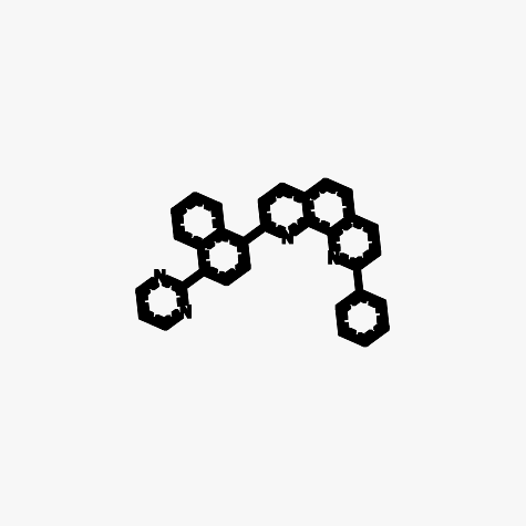 c1ccc(-c2ccc3ccc4ccc(-c5ccc(-c6ncccn6)c6ccccc56)nc4c3n2)cc1